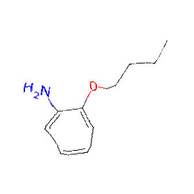 CCCCOc1ccccc1N